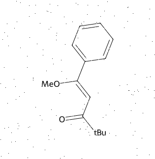 CO/C(=C\C(=O)C(C)(C)C)c1ccccc1